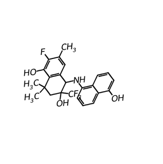 Cc1cc2c(c(O)c1F)C(C)(C)CC(O)(C(F)(F)F)C2Nc1cccc2c(O)cccc12